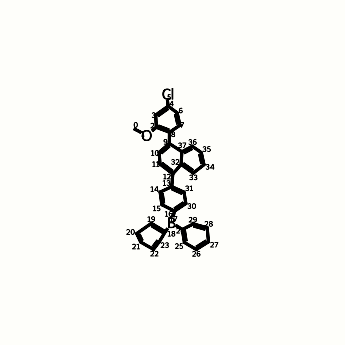 COc1cc(Cl)ccc1-c1ccc(-c2ccc(B(c3ccccc3)c3ccccc3)cc2)c2ccccc12